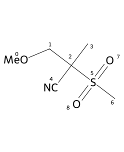 COCC(C)(C#N)S(C)(=O)=O